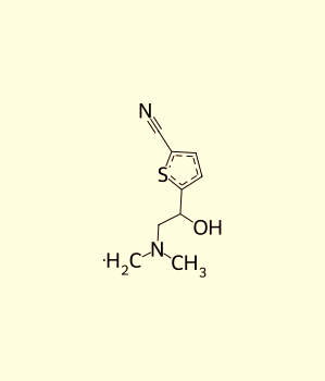 [CH2]N(C)CC(O)c1ccc(C#N)s1